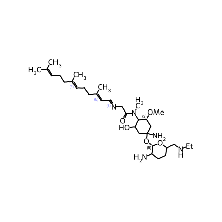 CCNCC1CCC(N)[C@@H](OC2(N)CC(O)C(N(C)C(=O)C/N=C/C=C(\C)CC/C=C(\C)CCC=C(C)C)[C@@H](OC)C2)O1